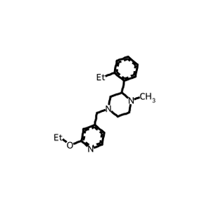 CCOc1cc(CN2CCN(C)C(c3ccccc3CC)C2)ccn1